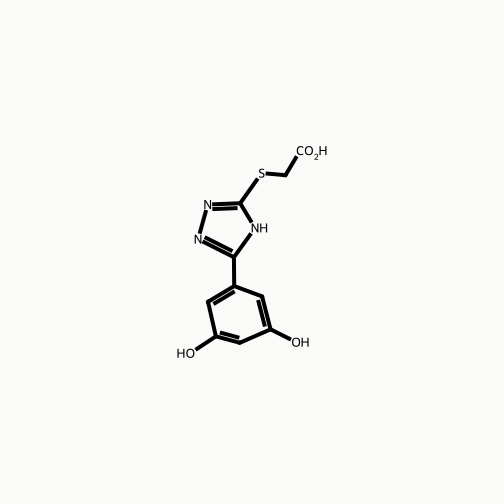 O=C(O)CSc1nnc(-c2cc(O)cc(O)c2)[nH]1